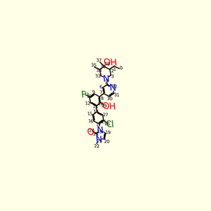 CCC1CN(c2cc(-c3cc(F)cc(-c4ccc(-n5ccn(C)c5=O)c(Cl)c4)c3O)ccn2)CC(C)C1(C)O